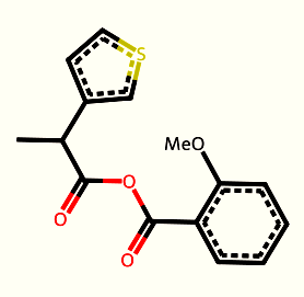 COc1ccccc1C(=O)OC(=O)C(C)c1ccsc1